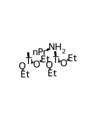 CCCN.CC[O][Ti]([CH3])[O]CC.CC[O][Ti]([CH3])[O]CC